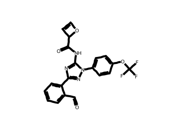 O=Cc1ccccc1-c1nc(NC(=O)C2C=CO2)n(-c2ccc(OC(F)(F)F)cc2)n1